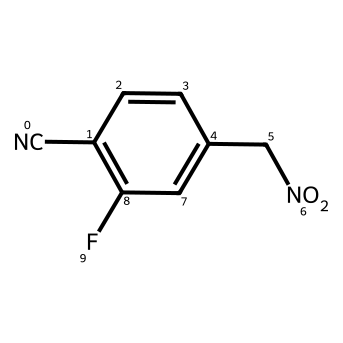 N#Cc1ccc(C[N+](=O)[O-])cc1F